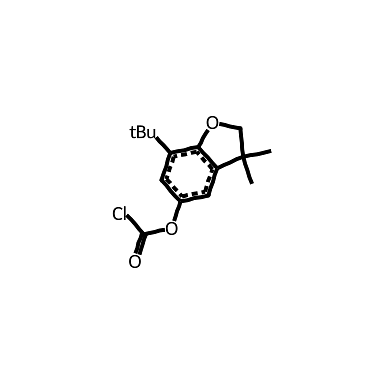 CC(C)(C)c1cc(OC(=O)Cl)cc2c1OCC2(C)C